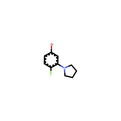 Fc1ccc(Br)cc1N1CCCC1